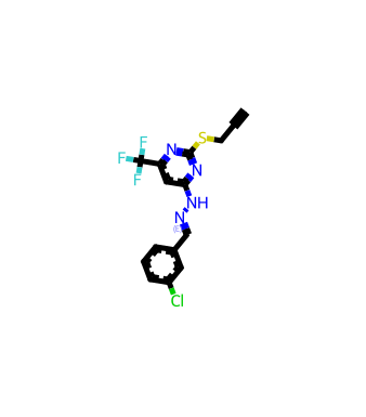 C#CCSc1nc(N/N=C/c2cccc(Cl)c2)cc(C(F)(F)F)n1